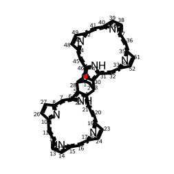 O=C1CC2c3c(c4cc5nc(cc6ccc(cc7nc(cc3[nH]4)C=C7)[nH]6)C=C5)C1c1c2c2cc3nc(cc4ccc(cc5nc(cc1[nH]2)C=C5)[nH]4)C=C3